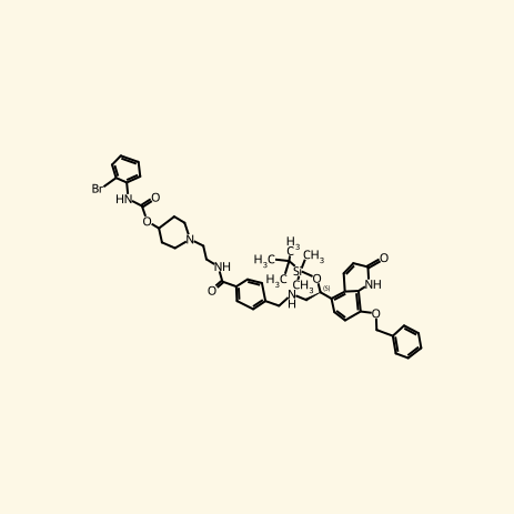 CC(C)(C)[Si](C)(C)O[C@H](CNCc1ccc(C(=O)NCCN2CCC(OC(=O)Nc3ccccc3Br)CC2)cc1)c1ccc(OCc2ccccc2)c2[nH]c(=O)ccc12